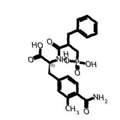 Cc1cc(C[C@H](NC(=O)C(Cc2ccccc2)CP(=O)(O)O)C(=O)O)ccc1C(N)=O